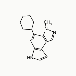 Cn1ncc2c3cc[nH]c3nc(C3CCCCC3)c21